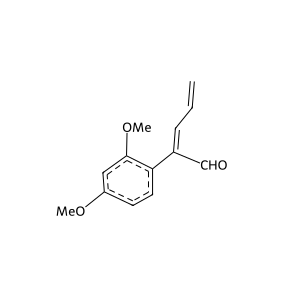 C=CC=C(C=O)c1ccc(OC)cc1OC